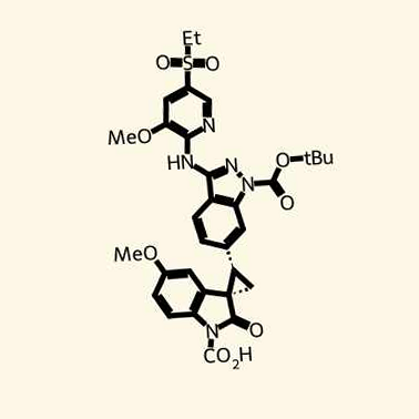 CCS(=O)(=O)c1cnc(Nc2nn(C(=O)OC(C)(C)C)c3cc([C@@H]4C[C@@]45C(=O)N(C(=O)O)c4ccc(OC)cc45)ccc23)c(OC)c1